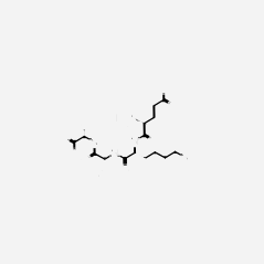 C[C@@H](NC(=O)[C@@H](C)NC(=O)[C@H](CCCCN)NC(=O)[C@@H](N)CCC(=O)O)C(=O)O